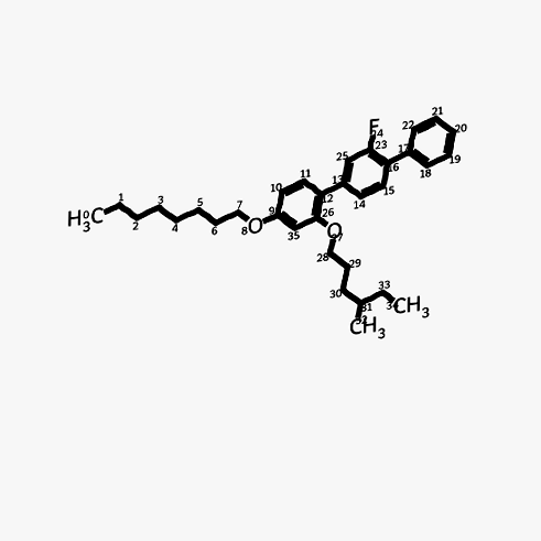 CCCCCCCCOc1ccc(-c2ccc(-c3ccccc3)c(F)c2)c(OCCCC(C)CC)c1